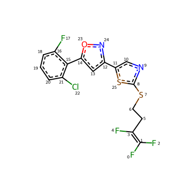 FC(F)=C(F)CCSc1ncc(-c2cc(-c3c(F)cccc3Cl)on2)s1